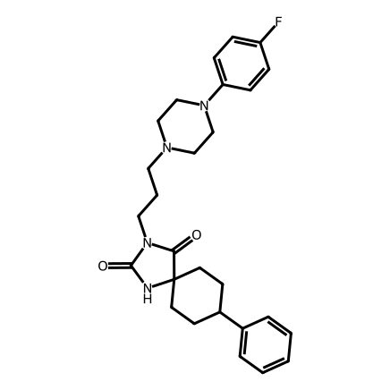 O=C1NC2(CCC(c3ccccc3)CC2)C(=O)N1CCCN1CCN(c2ccc(F)cc2)CC1